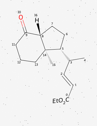 CCOC(=O)/C=C/C(C)[C@H]1CC[C@H]2C(=O)CCC[C@]12C